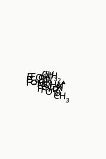 COc1cc(C(=O)NCC(O)(c2cc3c(c(-c4ccc(F)c(C(F)(F)F)c4)n2)OC[C@]3(C)C(N)=O)C(F)(F)F)cc2cn(C3CC3)nc12